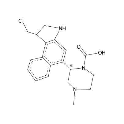 CN1CCN(C(=O)O)[C@@H](c2cc3c(c4ccccc24)C(CCl)CN3)C1